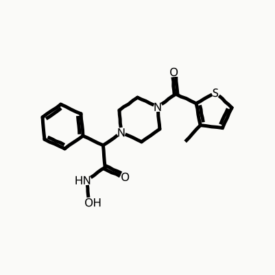 Cc1ccsc1C(=O)N1CCN(C(C(=O)NO)c2ccccc2)CC1